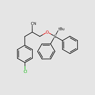 CC(C)(C)[Si](OCC(C#N)Cc1ccc(Cl)cc1)(c1ccccc1)c1ccccc1